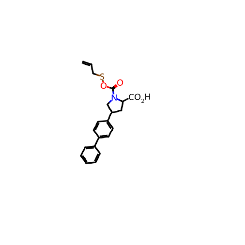 C=CCSOC(=O)N1CC(c2ccc(-c3ccccc3)cc2)CC1C(=O)O